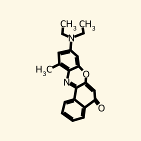 CCN(CC)c1cc(C)c2nc3c4ccccc4c(=O)cc-3oc2c1